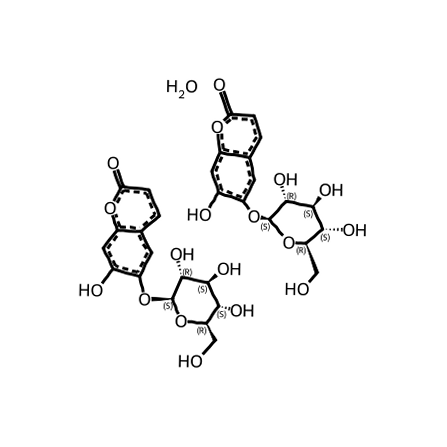 O.O=c1ccc2cc(O[C@@H]3O[C@H](CO)[C@@H](O)[C@H](O)[C@H]3O)c(O)cc2o1.O=c1ccc2cc(O[C@@H]3O[C@H](CO)[C@@H](O)[C@H](O)[C@H]3O)c(O)cc2o1